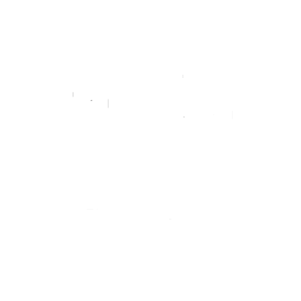 O=C(O)c1cc(O)c(O)c(O)c1.[AlH3].[Y]